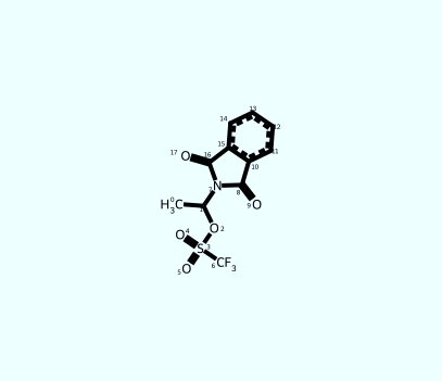 CC(OS(=O)(=O)C(F)(F)F)N1C(=O)c2ccccc2C1=O